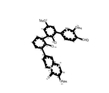 COc1cc(-c2ccc(C=O)c(OC)n2)c(Cl)c(-c2cccc(-c3ccn4c(=O)c(OC)cnc4c3)c2Cl)c1